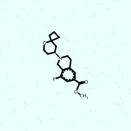 COC(=O)c1cc(F)c2c(c1)CCN([C@H]1CCOC3(CCC3)C1)C2